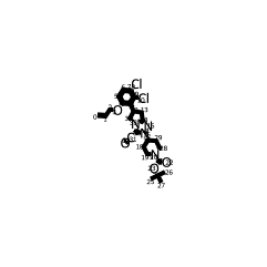 C=CCOc1ccc(Cl)c(Cl)c1C1CC2=NN(C3CCN(C(=O)OC(C)(C)C)CC3)C(=C=O)N2C1